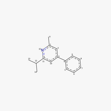 Cc1cc(-c2ccccc2)cc(C(C)C)n1